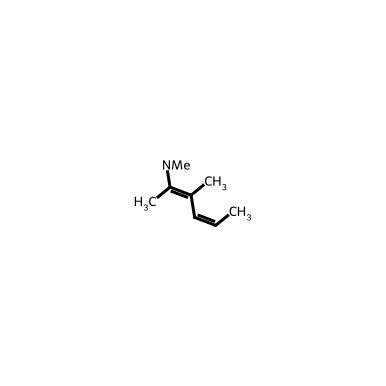 C/C=C\C(C)=C(/C)NC